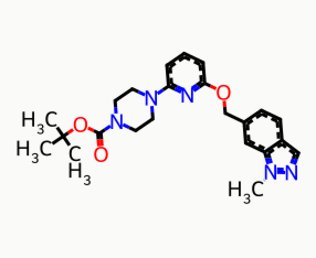 Cn1ncc2ccc(COc3cccc(N4CCN(C(=O)OC(C)(C)C)CC4)n3)cc21